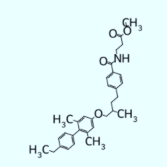 CCc1ccc(-c2c(C)cc(OCC(C)CCc3ccc(C(=O)NCCC(=O)OC)cc3)cc2C)cc1